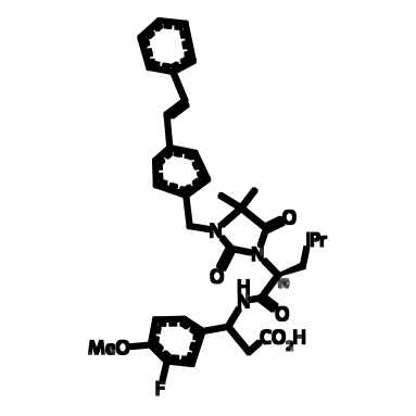 COc1ccc(C(CC(=O)O)NC(=O)[C@H](CC(C)C)N2C(=O)N(Cc3ccc(C=Cc4ccccc4)cc3)C(C)(C)C2=O)cc1F